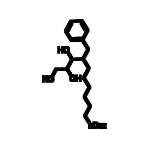 CCCCCCCCCCCCCCCCC(Cc1ccccc1)C(O)C(O)CO